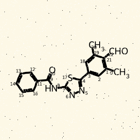 Cc1cc(-c2nnc(NC(=O)c3ccccc3)s2)cc(C)c1C=O